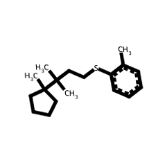 Cc1ccccc1SCCC(C)(C)C1(C)CCCC1